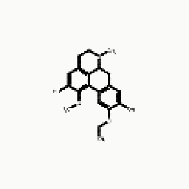 CCOc1cc2c(cc1O)CC1c3c(cc(O)c(OC)c3-2)CCN1C